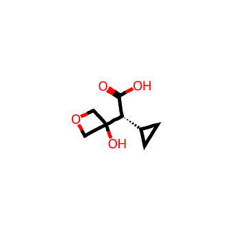 O=C(O)[C@H](C1CC1)C1(O)COC1